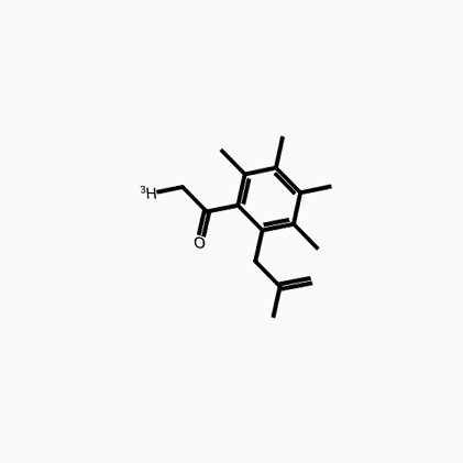 [3H]CC(=O)c1c(C)c(C)c(C)c(C)c1CC(=C)C